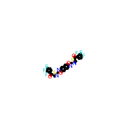 O=C(c1cnc(-c2nc3cc4cc5oc(-c6ncc(C(=O)c7ccc(F)c(F)c7F)s6)nc5cc4cc3o2)s1)c1ccc(F)c(F)c1F